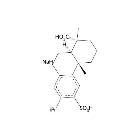 CC(C)c1cc2c(cc1S(=O)(=O)O)[C@@]1(C)CCC[C@@](C)(C(=O)O)[C@@H]1CC2.[NaH]